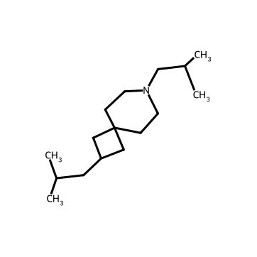 CC(C)CC1CC2(CCN(CC(C)C)CC2)C1